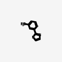 FC(F)(F)c1cc[c]c(-c2nccs2)c1